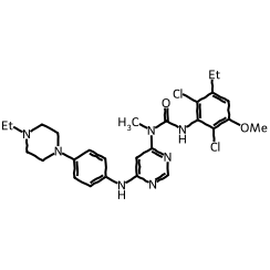 CCc1cc(OC)c(Cl)c(NC(=O)N(C)c2cc(Nc3ccc(N4CCN(CC)CC4)cc3)ncn2)c1Cl